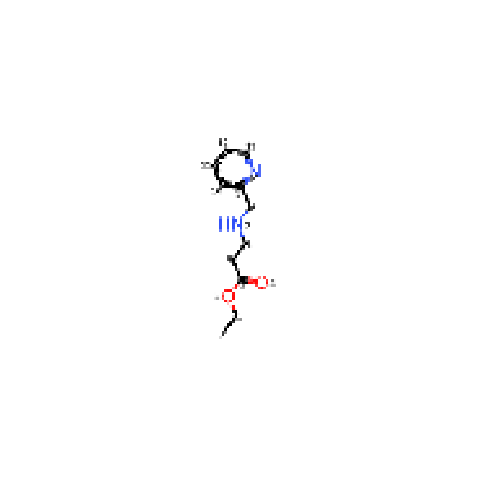 CCOC(=O)CCNCc1ccccn1